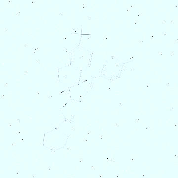 O=C(N[C@@H]1CC[C@@]2(S(=O)(=O)c3ccc(F)cc3)c3ccc(C(F)(C(F)(F)F)C(F)(F)F)cc3CC[C@@H]12)C1(O)CCNCC1